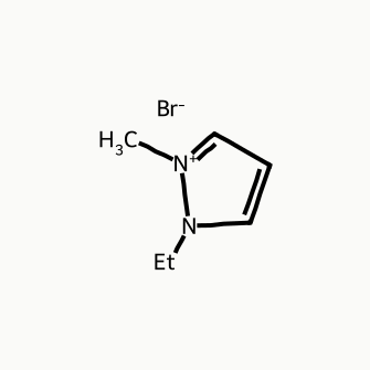 CCn1ccc[n+]1C.[Br-]